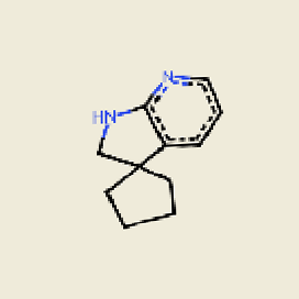 c1cnc2c(c1)C1(CCCC1)CN2